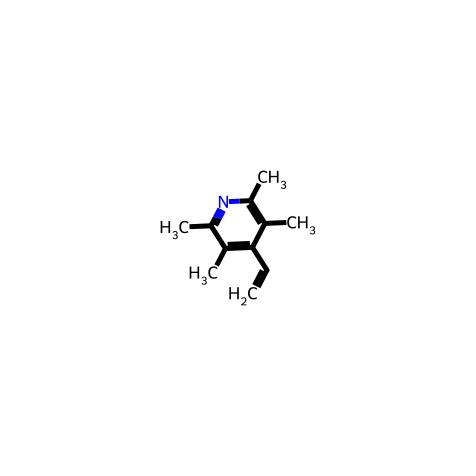 C=Cc1c(C)c(C)nc(C)c1C